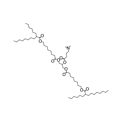 CCCCCCCCC(CCCCCC)C(=O)OCCCCCCCC(=O)OCC(COC(=O)CCCCCCCOC(=O)C(CCCCCC)CCCCCCCC)OC(=O)CCCN(C)C